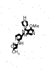 COc1cncc2nc(-c3ccnc(Nc4cc(C)on4)c3)nc(N3CCNCC3)c12